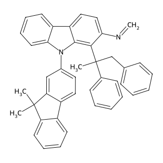 C=Nc1ccc2c3ccccc3n(-c3ccc4c(c3)C(C)(C)c3ccccc3-4)c2c1C(C)(Cc1ccccc1)c1ccccc1